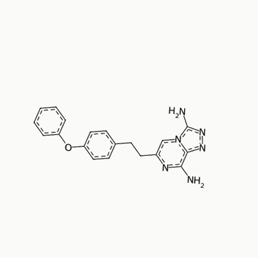 Nc1nc(CCc2ccc(Oc3ccccc3)cc2)cn2c(N)nnc12